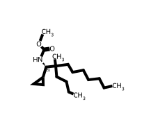 CCCCCCCC(C)(CCCC)[C@@H](NC(=O)OC)C1CC1